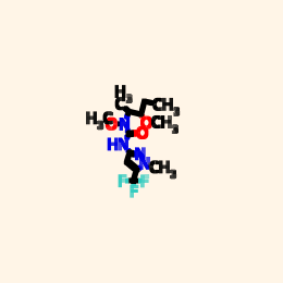 CCC(OC)C(C)N(OC)C(=O)Nc1cc(C(F)(F)F)n(C)n1